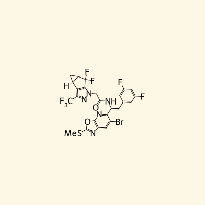 CSc1nc2cc(Br)c([C@H](Cc3cc(F)cc(F)c3)NC(=O)Cn3nc(C(F)(F)F)c4c3C(F)(F)C3C[C@H]43)nc2o1